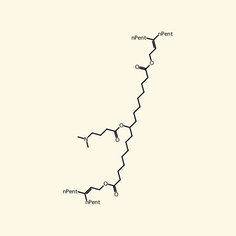 CCCCCC(=CCOC(=O)CCCCCCCC(CCCCCCCC(=O)OCC=C(CCCCC)CCCCC)OC(=O)CCCN(C)C)CCCCC